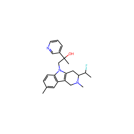 Cc1ccc2c(c1)c1c(n2CC(C)(O)c2cccnc2)CC(C(C)F)N(C)C1